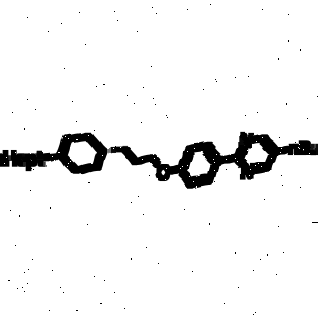 CCCCCCC[C@H]1CC[C@H](CCCOc2ccc(-c3ncc(CCCC)cn3)cc2)CC1